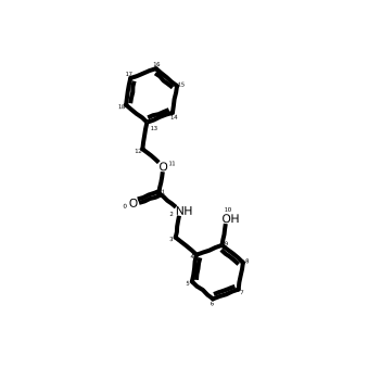 O=C(NCc1ccccc1O)OCc1ccccc1